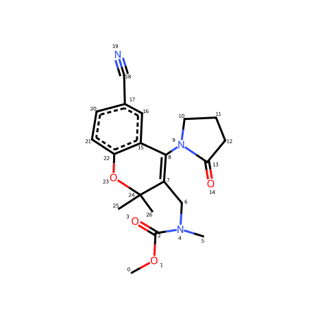 COC(=O)N(C)CC1=C(N2CCCC2=O)c2cc(C#N)ccc2OC1(C)C